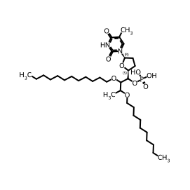 CCCCCCCCCCCCOC(C(C)OCCCCCCCCCC)C(OP(=O)(O)O)[C@@H]1CC[C@H](n2cc(C)c(=O)[nH]c2=O)O1